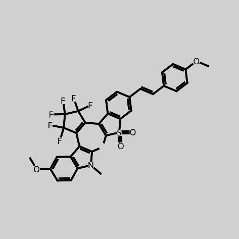 COc1ccc(C=Cc2ccc3c(c2)S(=O)(=O)C(C)=C3C2=C(c3c(C)n(C)c4ccc(OC)cc34)C(F)(F)C(F)(F)C2(F)F)cc1